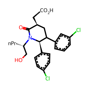 CCC[C@@H](CO)N1C(=O)[C@@H](CC(=O)O)CC(c2cccc(Cl)c2)[C@H]1c1ccc(Cl)cc1